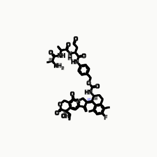 C=C1/C(=C2\c3c(C)cc(F)c(C)c3CC[C@@H]2NC(=O)OCc2ccc(NC(=O)C(CC=O)NC(=O)C(C)NC(=O)[C@H](C)N)cc2)Cn2c1cc1c(c2=O)COC(=O)[C@]1(O)CC